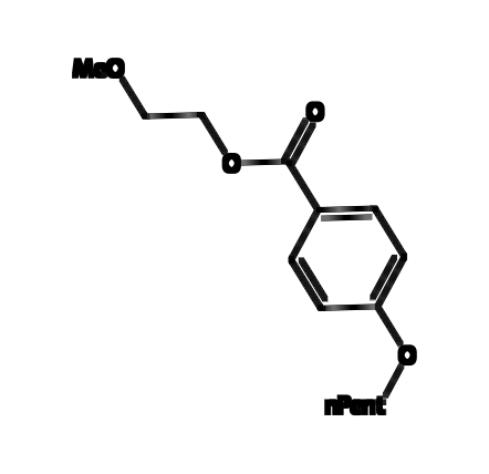 CCCCCOc1ccc(C(=O)OCCOC)cc1